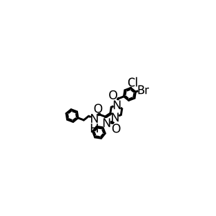 O=C(NCCc1ccccc1)c1c2n(c(=O)n1-c1ccccc1)CCN(C(=O)c1ccc(Br)c(Cl)c1)C2